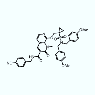 COc1ccc(CN(Cc2ccc(OC)cc2)S(=O)(=O)C2(COc3nccc4cc(C(=O)NCc5ccc(C#N)cc5)c(=O)n(C)c34)CC2)cc1